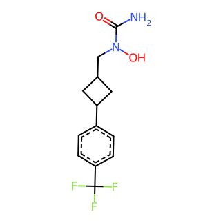 NC(=O)N(O)CC1CC(c2ccc(C(F)(F)F)cc2)C1